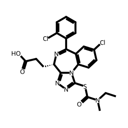 CCN(C)C(=O)Sc1nnc2n1-c1ccc(Cl)cc1C(c1ccccc1Cl)=N[C@H]2CCC(=O)O